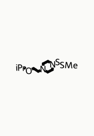 CSSN1CCN(CCOC(C)C)CC1